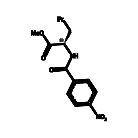 COC(=O)[C@H](CC(C)C)NC(=O)c1ccc([N+](=O)[O-])cc1